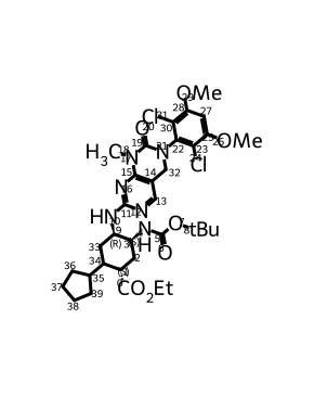 CCOC(=O)[C@H]1C[C@H](NC(=O)OC(C)(C)C)[C@H](Nc2ncc3c(n2)N(C)C(=O)N(c2c(Cl)c(OC)cc(OC)c2Cl)C3)CC1C1CCCC1